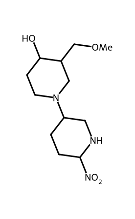 COCC1CN(C2CCC([N+](=O)[O-])NC2)CCC1O